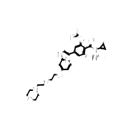 COc1cc(-c2cnc3cc(OCCOCCN4CCOCC4)ccn23)cc(OC(F)F)c1C(=O)NC1CC1